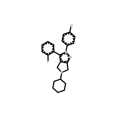 Fc1ccccc1-c1c2c(nn1-c1ccc(Cl)cc1)CN(C1CCCCC1)C2